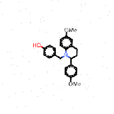 COc1ccc(C2CCc3cc(OC)ccc3N2Cc2ccc(O)cc2)cc1